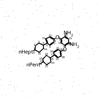 CCCCCCCC1CCC(c2ccc(Oc3cc(Oc4ccc(C5CCC(CCCCC)CC5)cc4)c(N)cc3N)cc2)CC1